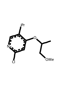 COCC(C)Oc1cc(Cl)ncc1C(C)C